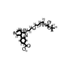 COC(=O)c1ccc2c(c1)nc(NCCOCCC[C@H](C)NC(=O)OC(C)(C)C)c1ccncc12